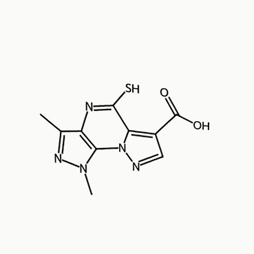 Cc1nn(C)c2c1nc(S)c1c(C(=O)O)cnn12